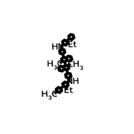 CCc1cc(Nc2ccc(-c3cc(C)c(-c4c(C)cc(-c5ccc(Nc6ccc(-c7ccc(C)cc7)c(CC)c6)cc5)c5ccccc45)c4ccccc34)cc2)ccc1-c1ccccc1